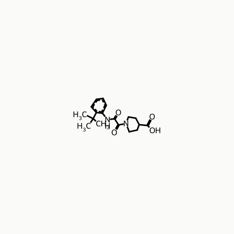 CC(C)(C)c1ccccc1NC(=O)C(=O)N1CCC(C(=O)O)CC1